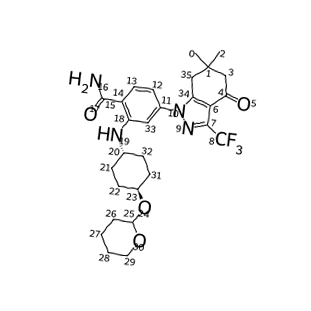 CC1(C)CC(=O)c2c(C(F)(F)F)nn(-c3ccc(C(N)=O)c(N[C@H]4CC[C@H](OC5CCCCO5)CC4)c3)c2C1